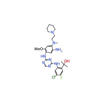 COc1cc(N(C)CCN2CCCCC2)c(N)cc1Nc1ncnc(Nc2cc(Cl)c(F)cc2C(C)(C)O)n1